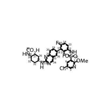 COc1ncc(Cl)cc1S(=O)(=O)Nc1ccc(F)c(-c2ccc3nc(N[C@H]4CC[C@H](NC(=O)O)CC4)ncc3c2)c1F